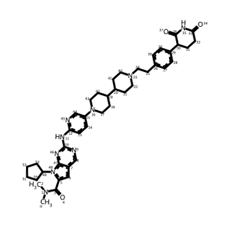 CN(C)C(=O)c1cc2cnc(Nc3ccc(N4CCC(C5CCN(CCc6ccc(C7CCC(=O)NC7=O)cc6)CC5)CC4)cn3)nc2n1C1CCCC1